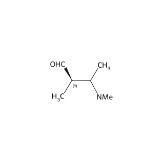 CNC(C)[C@@H](C)C=O